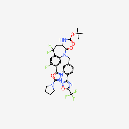 CC(C)(C)OC(=O)N[C@H]1CC(F)(F)c2cc(F)c(-c3nnc(N4CCCC4)o3)cc2N(Cc2ccc(-c3noc(C(F)(F)F)n3)cc2)C1=O